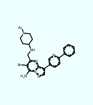 CC(=O)N1CCC(NCc2nc3c(-c4ccc(-c5ccccc5)nc4)cnn3c(N)c2Br)CC1